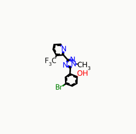 Cn1nc(-c2ncccc2C(F)(F)F)nc1-c1cc(Br)ccc1O